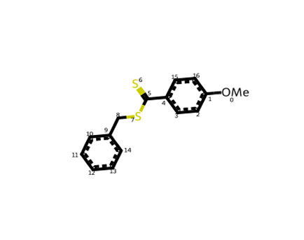 COc1ccc(C(=S)SCc2ccccc2)cc1